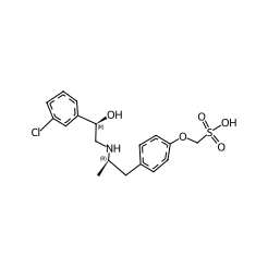 C[C@H](Cc1ccc(OCS(=O)(=O)O)cc1)NC[C@H](O)c1cccc(Cl)c1